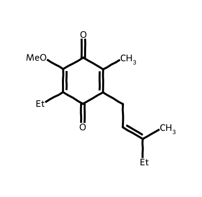 CCC1=C(OC)C(=O)C(C)=C(C/C=C(\C)CC)C1=O